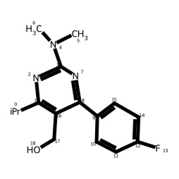 CC(C)c1nc(N(C)C)nc(-c2ccc(F)cc2)c1CO